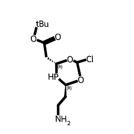 CC(C)(C)OC(=O)C[C@@H]1OC(Cl)O[C@@H](CCN)P1